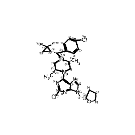 C[C@@H]1CN(c2nc(Cl)nc3c2ncn3C[C@@H]2CCCO2)[C@@H](C)CN1C(c1ccc(Cl)cc1)[C@@H]1CC1(F)F